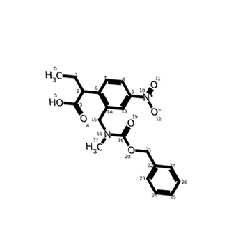 CCC(C(=O)O)c1ccc([N+](=O)[O-])cc1CN(C)C(=O)OCc1ccccc1